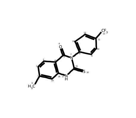 Cc1ccc2c(=O)n(-c3ccc(C(F)(F)F)cc3)c(=S)[nH]c2c1